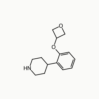 c1ccc(C2CCNCC2)c(OC2COC2)c1